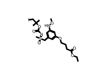 CCOC(=O)CCCOc1cc(CS(C)(=O)=NC(=O)OC(C)(C)CI)cc(NOC)c1